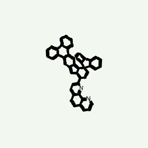 C1=CC2(C3=c4cc5c6ccccc6c6ccccc6c5cc4=CC3=C1c1ccc3ccc4cccnc4c3n1)c1ccccc1-c1ccccc12